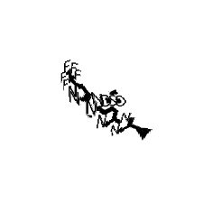 CCS(=O)(=O)c1cc(-c2ncc(C3CC3)cn2)cnc1-c1nc2cc(C(F)(F)C(F)(F)F)nnc2n1C